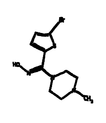 CN1CCN(C(=NO)c2ccc(Br)s2)CC1